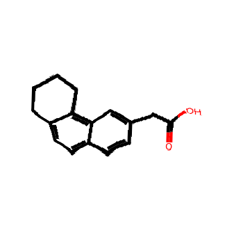 O=C(O)Cc1ccc2ccc3c(c2c1)CCCC3